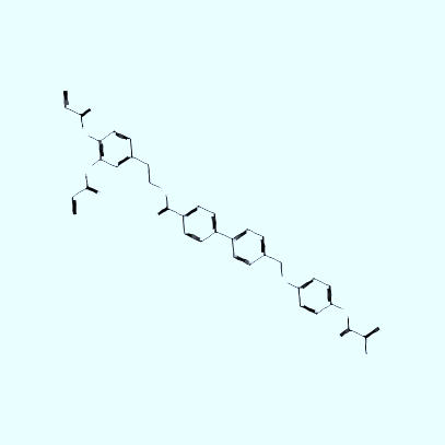 C=CC(=O)Oc1ccc(CCOC(=O)c2ccc(-c3ccc(COc4ccc(OC(=O)C(=C)C)cc4)cc3)cc2)cc1OC(=O)C=C